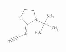 CC(C)(C)N1CCS/C1=N\C#N